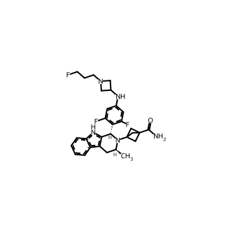 C[C@H]1Cc2c([nH]c3ccccc23)[C@H](c2c(F)cc(NC3CN(CCCF)C3)cc2F)N1C12CC(C(N)=O)(C1)C2